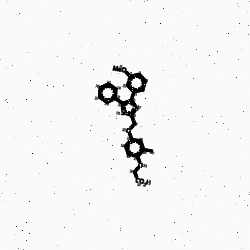 COc1cccc(-c2nc(COc3ccc(OCC(=O)O)c(C)c3)sc2-c2ccccc2)c1